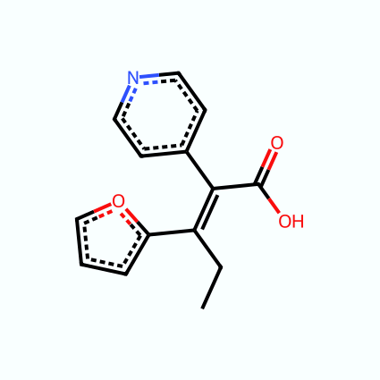 CCC(=C(C(=O)O)c1ccncc1)c1ccco1